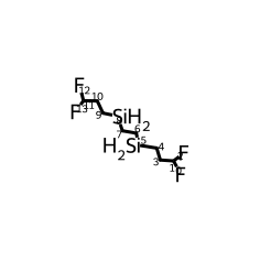 FC(F)CC[SiH2]CC[SiH2]CCC(F)F